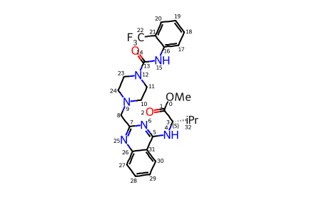 COC(=O)[C@@H](Nc1nc(CN2CCN(C(=O)Nc3ccccc3C(F)(F)F)CC2)nc2ccccc12)C(C)C